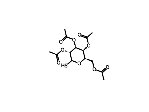 CC(=O)OC[C@H]1OC(S)[C@H](OC(C)=O)[C@@H](OC(C)=O)[C@H]1OC(C)=O